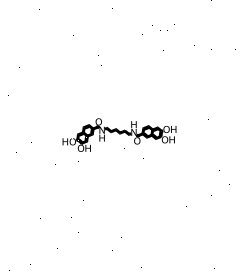 O=C(NCCCCCCNC(=O)c1ccc2cc(O)c(O)cc2c1)c1ccc2cc(O)c(O)cc2c1